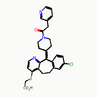 O=C(O)CSc1ccnc2c1CCc1cc(Cl)ccc1C2=C1CCN(C(=O)Cc2cccnc2)CC1